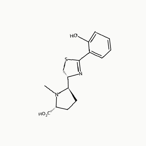 CN1[C@@H](C(=O)O)CC[C@@H]1[C@@H]1CSC(c2ccccc2O)=N1